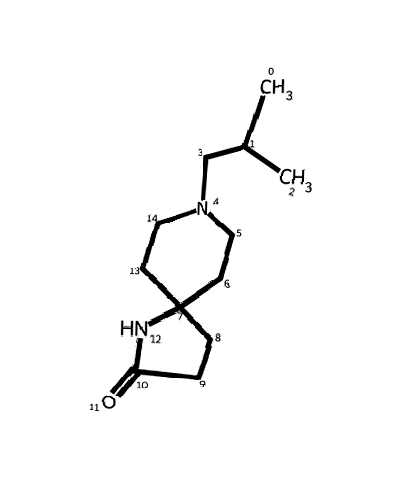 CC(C)CN1CCC2(CCC(=O)N2)CC1